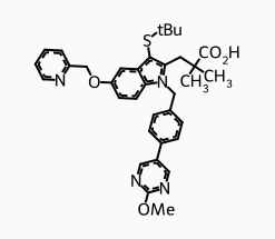 COc1ncc(-c2ccc(Cn3c(CC(C)(C)C(=O)O)c(SC(C)(C)C)c4cc(OCc5ccccn5)ccc43)cc2)cn1